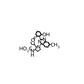 Cc1ccc2c(N3CCC(NC(=O)O)C3C3CCOC3)nc(-c3c(O)cccc3F)nc2c1